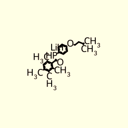 Cc1cc(C)c(C(=O)Pc2ccc(OCCC(C)C)cc2)c(C)c1C.[LiH]